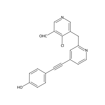 O=Cc1cncc(Cc2cc(C#Cc3ccc(O)cc3)ccn2)c1Cl